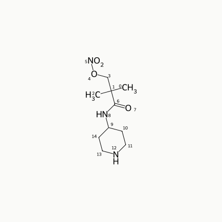 CC(C)(CO[N+](=O)[O-])C(=O)NC1CCNCC1